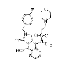 CN(c1c2c(c(O)c3ncccc13)C(=O)N(Cc1ccc(F)cc1)C2)S(=O)(=O)CCN1CCOCC1